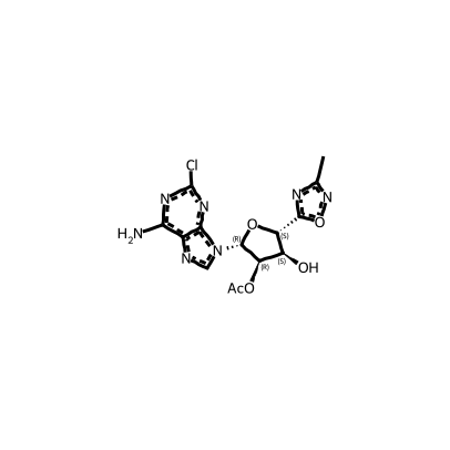 CC(=O)O[C@@H]1[C@H](O)[C@@H](c2nc(C)no2)O[C@H]1n1cnc2c(N)nc(Cl)nc21